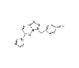 Oc1ccc(Cc2nnc3ccc(-n4ccnc4)nn23)cc1